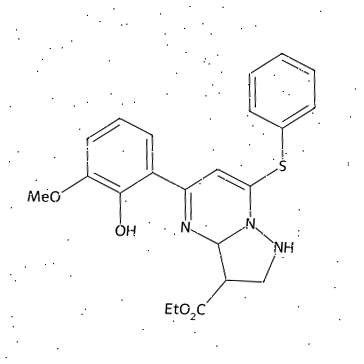 CCOC(=O)C1CNN2C(Sc3ccccc3)=CC(c3cccc(OC)c3O)=NC12